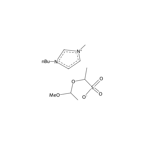 CCCCn1cc[n+](C)c1.COC(C)OC(C)S(=O)(=O)[O-]